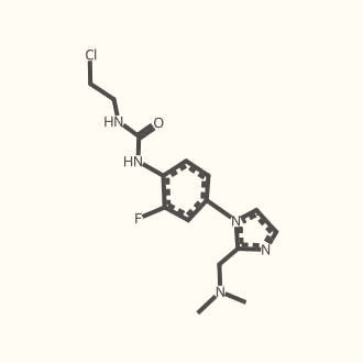 CN(C)Cc1nccn1-c1ccc(NC(=O)NCCCl)c(F)c1